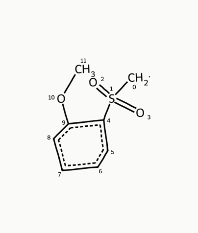 [CH2]S(=O)(=O)c1ccccc1OC